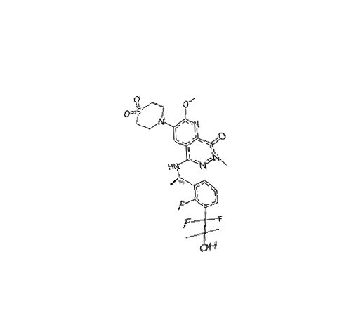 COc1nc2c(=O)n(C)nc(N[C@H](C)c3cccc(C(F)(F)C(C)(C)O)c3F)c2cc1N1CCS(=O)(=O)CC1